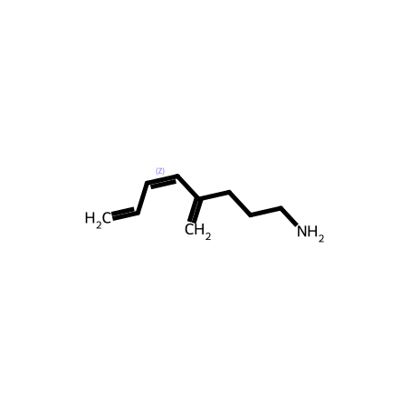 C=C/C=C\C(=C)CCCN